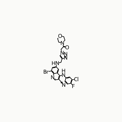 N#Cc1cnc2c(Br)cc(NCc3cn(CC(=O)N4CCOCC4)nn3)cc2c1Nc1ccc(F)c(Cl)c1